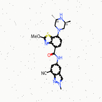 COc1nc2c(C(=O)Nc3cc(C#N)c4nn(C)cc4c3)ccc(N3C[C@H](C)N[C@@H](C)C3)c2s1